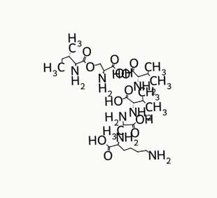 CC(C)[C@H](N)C(=O)O.CC(C)[C@H](N)C(=O)O.CC[C@H](C)[C@H](N)C(=O)OC[C@H](N)C(=O)O.C[C@H](N)C(=O)O.NCCCC[C@H](N)C(=O)O